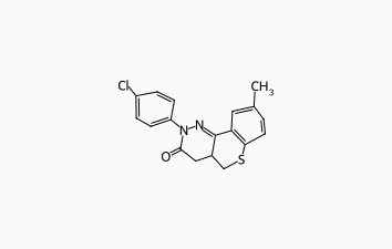 Cc1ccc2c(c1)C1=NN(c3ccc(Cl)cc3)C(=O)CC1CS2